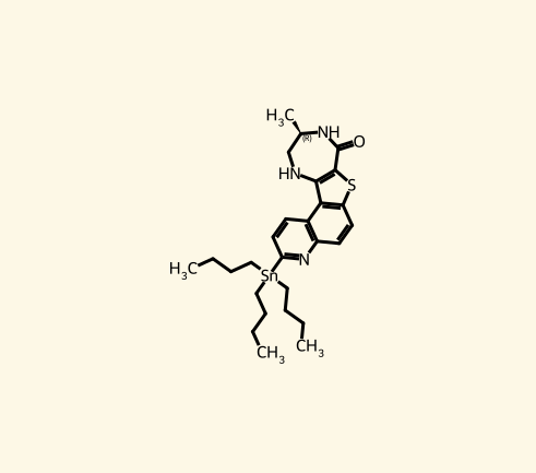 CCC[CH2][Sn]([CH2]CCC)([CH2]CCC)[c]1ccc2c(ccc3sc4c(c32)NC[C@@H](C)NC4=O)n1